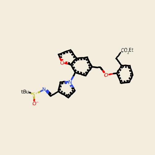 CCOC(=O)Cc1ccccc1OCc1cc(-n2ccc(C=N[S+]([O-])C(C)(C)C)c2)c2occc2c1